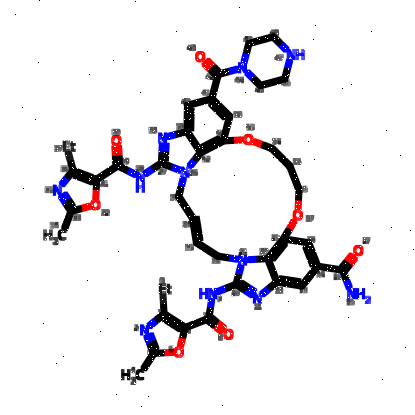 CCc1nc(C)oc1C(=O)Nc1nc2cc(C(N)=O)cc3c2n1C/C=C/Cn1c(NC(=O)c2oc(C)nc2CC)nc2cc(C(=O)N4CCNCC4)cc(c21)OCCCO3